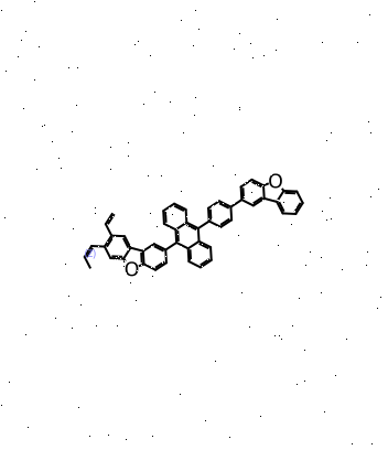 C=Cc1cc2c(cc1/C=C\C)oc1ccc(-c3c4ccccc4c(-c4ccc(-c5ccc6oc7ccccc7c6c5)cc4)c4ccccc34)cc12